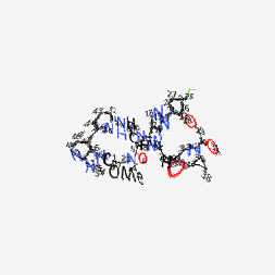 CO[C@H]1CN(C)C(=O)[C@@H]2C[C@@H](CN2c2nc3nc4c2cnn4-c2ccc(F)cc2OCC(=O)N2C[C@@H](C3)OC3CC32)Nc2cccc(n2)-c2ccnc3nc(C)n(c23)C1